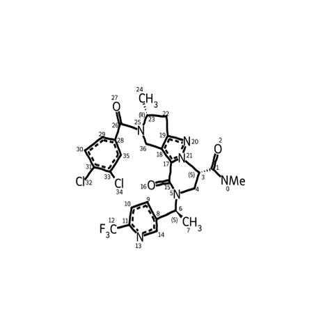 CNC(=O)[C@@H]1CN([C@@H](C)c2ccc(C(F)(F)F)nc2)C(=O)c2c3c(nn21)C[C@@H](C)N(C(=O)c1ccc(Cl)c(Cl)c1)C3